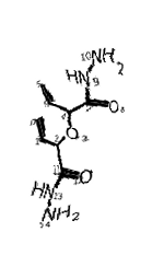 C=CC(OC(C=C)C(=O)NN)C(=O)NN